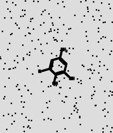 Nc1cc(O)c(O)c(Br)c1